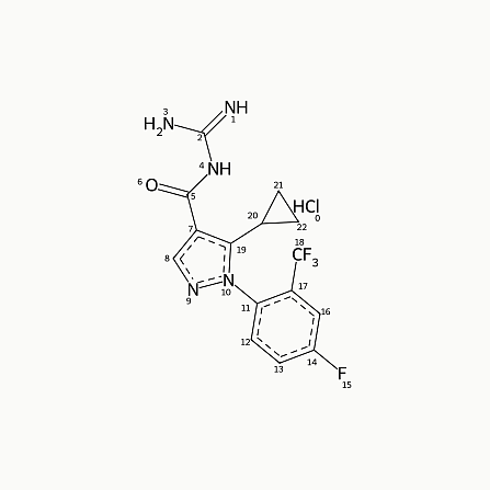 Cl.N=C(N)NC(=O)c1cnn(-c2ccc(F)cc2C(F)(F)F)c1C1CC1